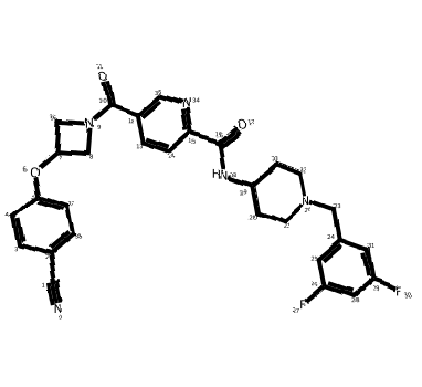 N#Cc1ccc(OC2CN(C(=O)c3ccc(C(=O)NC4CCN(Cc5cc(F)cc(F)c5)CC4)nc3)C2)cc1